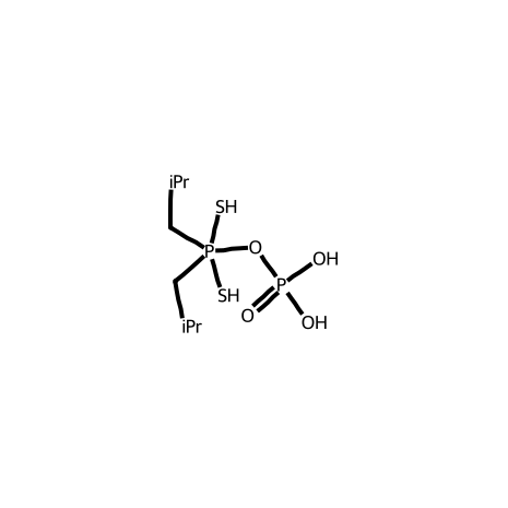 CC(C)CP(S)(S)(CC(C)C)OP(=O)(O)O